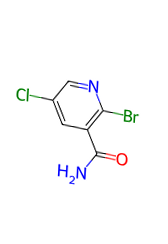 NC(=O)c1cc(Cl)cnc1Br